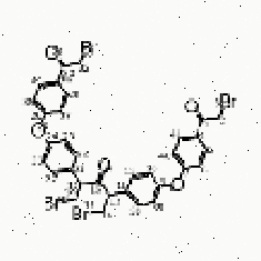 O=C(CBr)c1ccc(Oc2ccc(C(CBr)C(=O)C(CBr)c3ccc(Oc4ccc(C(=O)CBr)cc4)cc3)cc2)cc1